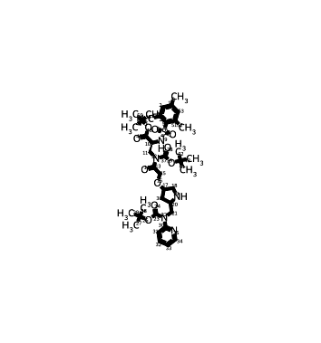 Cc1cc(C)c(S(=O)(=O)N[C@@H](CN(C(=O)COC2CNC(CN(C(=O)OC(C)(C)C)c3ccccn3)C2)C(=O)OC(C)(C)C)C(=O)OC(C)(C)C)c(C)c1